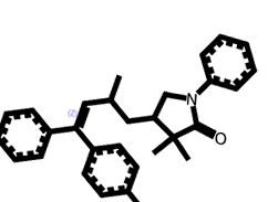 Cc1ccc(/C(=C\C(C)CC2CN(c3ccccc3)C(=O)C2(C)C)c2ccccc2)cc1